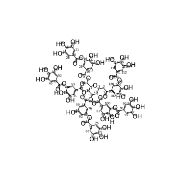 O=C(C[C@@H]1O[C@H](COC(=O)c2cc(O)c(O)c(OC(=O)c3cc(O)c(O)c(O)c3)c2)[C@@H](OC(=O)c2cc(O)c(O)c(OC(=O)c3cc(O)c(O)c(O)c3)c2)[C@H](OC(=O)c2cc(O)cc(OC(=O)c3cc(O)c(O)c(O)c3)c2)[C@H]1OC(=O)c1cc(O)c(O)c(OC(=O)c2cc(O)c(O)c(O)c2)c1)c1cc(O)c(O)c(OC(=O)c2cc(O)c(O)c(O)c2)c1